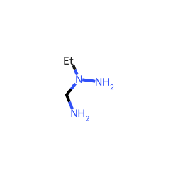 CCN(N)CN